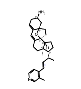 Cc1cnccc1/C=C/C(C)[C@H]1CC[C@@H]2[C@]1(C)CCC1=CC3=CC[C@@H](N)C[C@]34CC[C@@]12O4